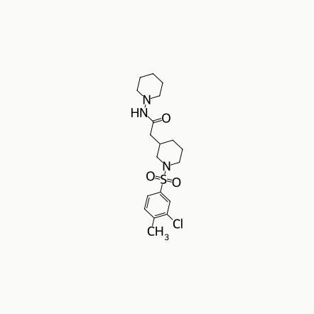 Cc1ccc(S(=O)(=O)N2CCCC(CC(=O)NN3CCCCC3)C2)cc1Cl